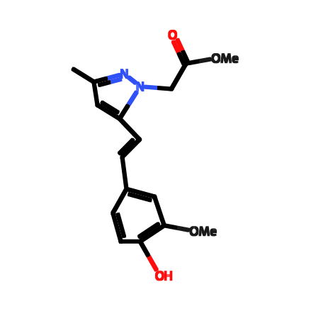 COC(=O)Cn1nc(C)cc1C=Cc1ccc(O)c(OC)c1